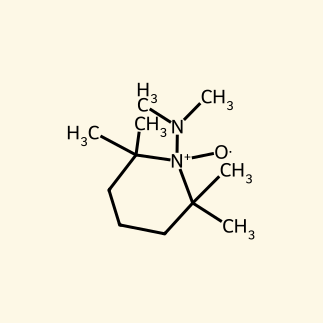 CN(C)[N+]1([O])C(C)(C)CCCC1(C)C